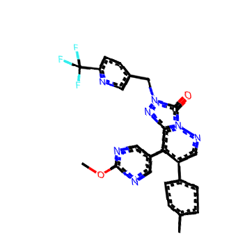 COc1ncc(-c2c(-c3ccc(C)cc3)cnn3c(=O)n(Cc4ccc(C(F)(F)F)nc4)nc23)cn1